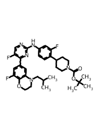 CC(C)CN1CCOc2c(F)cc(-c3nc(Nc4ccc(C5CCN(C(=O)OC(C)(C)C)CC5)c(F)c4)ncc3F)cc21